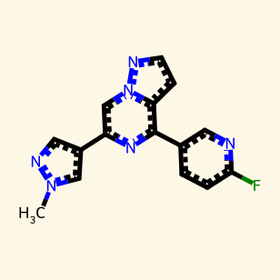 Cn1cc(-c2cn3nccc3c(-c3ccc(F)nc3)n2)cn1